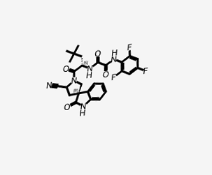 CC(C)(C)C[C@H](NC(=O)C(=O)Nc1c(F)cc(F)cc1F)C(=O)N1C[C@]2(CC1C#N)C(=O)Nc1ccccc12